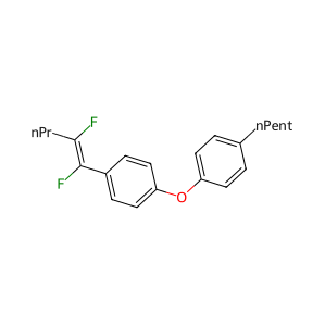 CCCCCc1ccc(Oc2ccc(C(F)=C(F)CCC)cc2)cc1